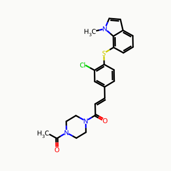 CC(=O)N1CCN(C(=O)C=Cc2ccc(Sc3cccc4ccn(C)c34)c(Cl)c2)CC1